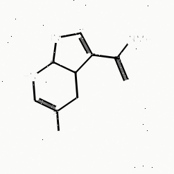 C=C(NC)C1=CNC2NC=C(Cl)CC12